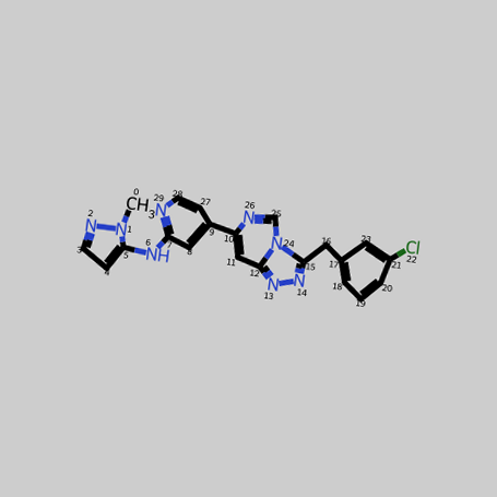 Cn1nccc1Nc1cc(-c2cc3nnc(Cc4cccc(Cl)c4)n3cn2)ccn1